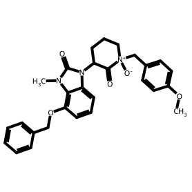 COc1ccc(C[N+]2([O-])CCCC(n3c(=O)n(C)c4c(OCc5ccccc5)cccc43)C2=O)cc1